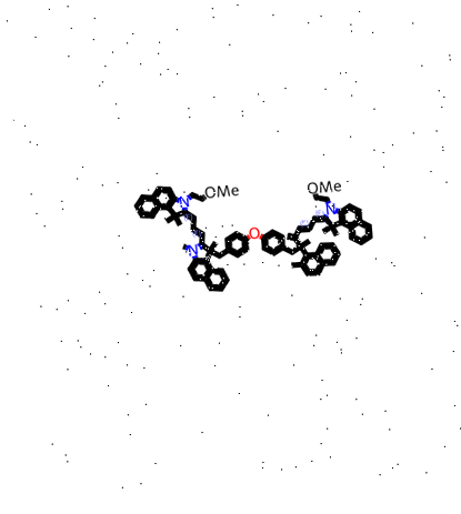 C=C(/C=C/C=C1/N(CCOC)c2ccc3ccccc3c2C1(C)C)C(C)(Cc1ccc(Oc2ccc(CC3(C)C(/C=C/C=C4/N(CCOC)c5ccc6ccccc6c5C4(C)C)=[N+](C)c4ccc5ccccc5c43)cc2)cc1)c1c(C)ccc2ccccc12